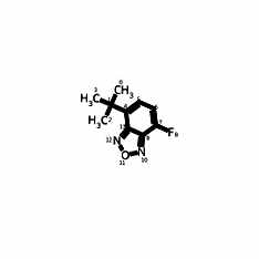 CC(C)(C)c1ccc(F)c2nonc12